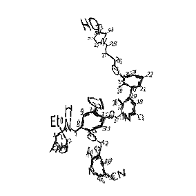 CCC(CO)(CO)NCc1cc(Cl)c(OCc2nccc(-c3cccc(OCCCN4CC[C@@H](O)C4)c3C)c2C)cc1OCc1cncc(C#N)c1